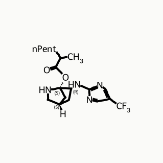 CCCCCC(C)C(=O)O[C@]12C[C@@H](CN1)C[C@H]2Nc1ncc(C(F)(F)F)cn1